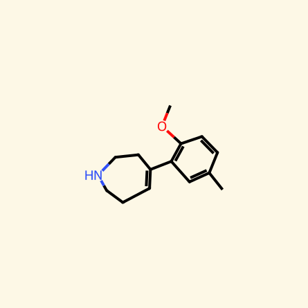 COc1ccc(C)cc1C1=CCCNCC1